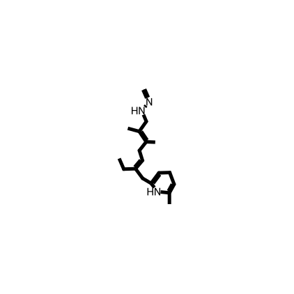 C=NNC/C(C)=C(\C)CC=C(CC)CC1=CCC=C(C)N1